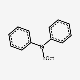 CCCCCCC[CH2][Bi]([c]1ccccc1)[c]1ccccc1